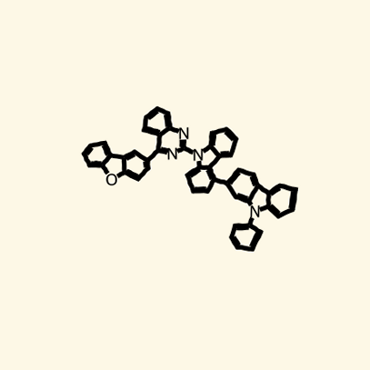 c1ccc(-n2c3ccccc3c3ccc(-c4cccc5c4c4ccccc4n5-c4nc(-c5ccc6oc7ccccc7c6c5)c5ccccc5n4)cc32)cc1